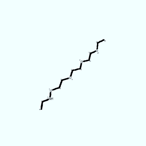 CCNOCCOCCOCCOCC